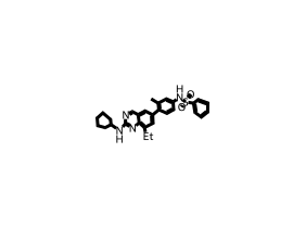 CCc1cc(-c2ccc(NS(=O)(=O)c3ccccc3)cc2C)cc2cnc(NC3CCCCC3)nc12